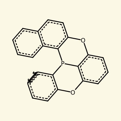 c1cc2c3c(c1)Oc1ccc4ccccc4c1P3c1c(ccc3ccccc13)O2